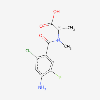 C[C@@H](C(=O)O)N(C)C(=O)c1cc(F)c(N)cc1Cl